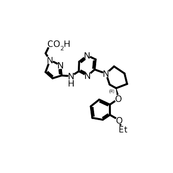 CCOc1ccccc1O[C@@H]1CCCN(c2cncc(Nc3ccn(CC(=O)O)n3)n2)C1